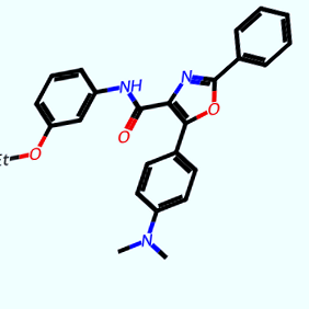 CCOc1cccc(NC(=O)c2nc(-c3ccccc3)oc2-c2ccc(N(C)C)cc2)c1